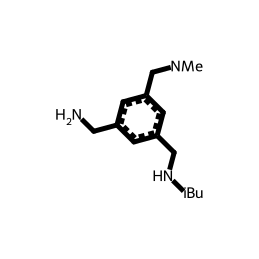 CCC(C)NCc1cc(CN)cc(CNC)c1